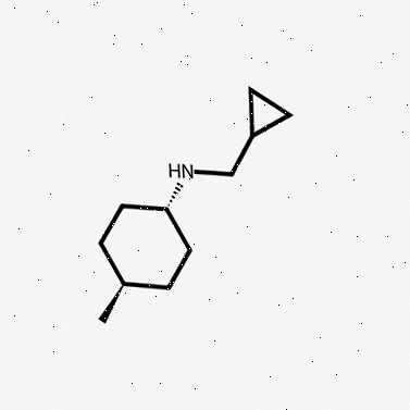 C[C@H]1CC[C@H](NCC2CC2)CC1